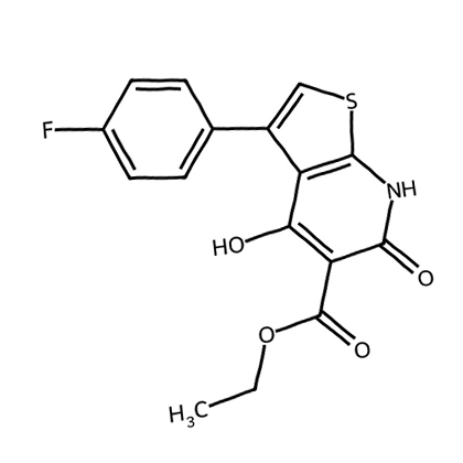 CCOC(=O)c1c(O)c2c(-c3ccc(F)cc3)csc2[nH]c1=O